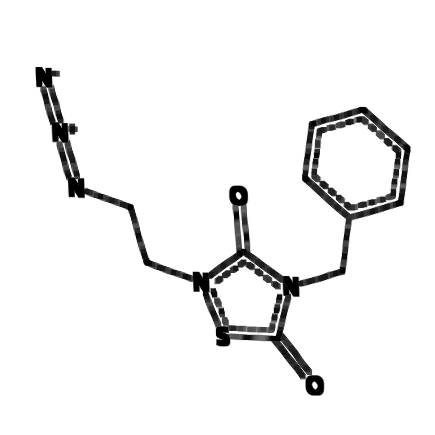 [N-]=[N+]=NCCn1sc(=O)n(Cc2ccccc2)c1=O